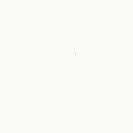 CCc1cc2c(cc1N)CNC2